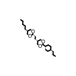 CCCCC[C@H]1CO[C@H](CC[C@H]2CO[C@H]([C@H]3CC[C@H](CCC)CC3)OC2)OC1